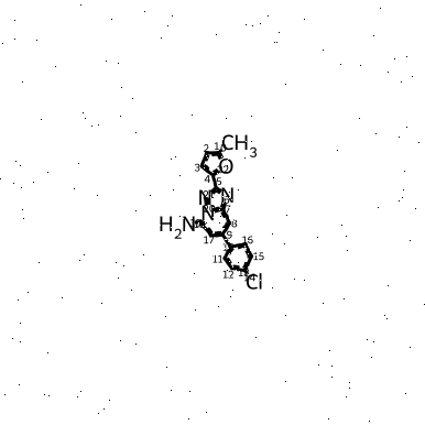 Cc1ccc(-c2nc3cc(-c4ccc(Cl)cc4)cc(N)n3n2)o1